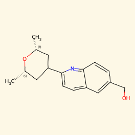 C[C@@H]1CC(c2ccc3cc(CO)ccc3n2)C[C@H](C)O1